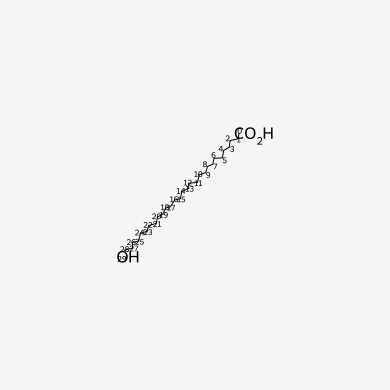 O=C(O)CCCCCCCCCCCCCCCCCCCCCCCCCCCCO